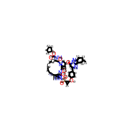 COc1ccc(-c2cc(O[C@@H]3C[C@H]4C(=O)N[C@]5(C(=O)NS(=O)(=O)C6CC6)C[C@H]5/C=C\CCCCC[C@H](NC(=O)OC5CCCC5)C(=O)N4C3)n3nc4ccc(C)cc4c3n2)cc1